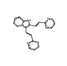 C(=C\c1[nH]c2ccccc2c1/C=C/c1ncccn1)/c1ncccn1